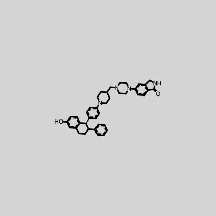 O=C1NCc2cc(N3CCN(CC4CCN(c5ccc([C@@H]6c7ccc(O)cc7CCC6c6ccccc6)cc5)CC4)CC3)ccc21